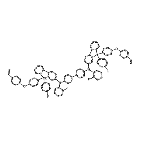 C=Cc1ccc(Oc2ccc(C3(c4ccc(F)cc4)c4ccccc4-c4ccc(N(c5ccc(-c6ccc(N(c7ccc8c(c7)[C@@](c7ccc(F)cc7)(c7ccc(Oc9ccc(C=C)cc9)cc7)c7ccccc7-8)c7ccccc7F)cc6)cc5)c5ccccc5F)cc43)cc2)cc1